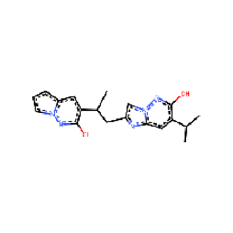 CC(C)c1cc2nc(CC(C)c3cc4cccn4nc3O)cn2nc1O